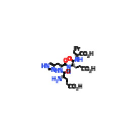 CC(C)C[C@H](NC(=O)[C@H](CCC(=O)O)NC(=O)[C@H](Cc1c[nH]cn1)NC(=O)[C@@H](N)CCC(=O)O)C(=O)O